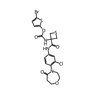 O=C(NC1(C(=O)Nc2ccc(N3CCOCCC3=O)c(Cl)c2)CSC1)Oc1ccc(Br)s1